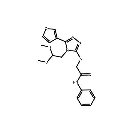 COC(Cn1c(SCC(=O)Nc2ccccc2)nnc1-c1ccoc1)OC